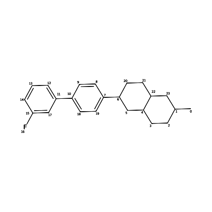 CC1CCC2CC(c3ccc(-c4cccc(F)c4)cc3)CCC2C1